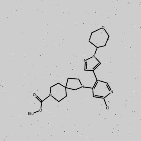 CC(C)(C)OC(=O)N1CCC2(CC1)CCN(c1cc(Cl)ncc1-c1cnn(C3CCOCC3)c1)C2